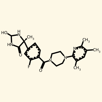 Cc1cc(C)c(N2CCN(C(=O)c3ccc([C@@]4(C)NC(O)NC4=O)cc3F)CC2)nc1C